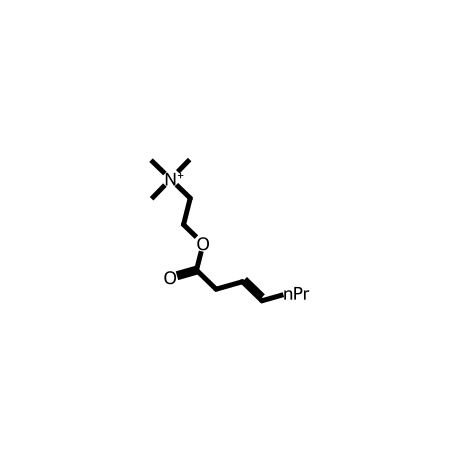 CCCC=CCC(=O)OCC[N+](C)(C)C